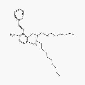 CCCCCCCCCCC(CCCCCCCC)Cc1c(N)ccc(N)c1C=Cc1ccccc1